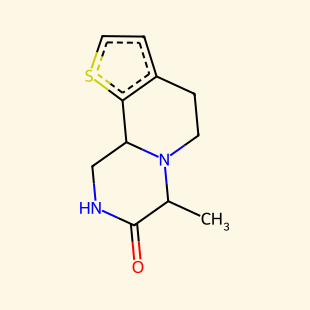 CC1C(=O)NCC2c3sccc3CCN12